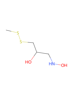 CSSCC(O)CNO